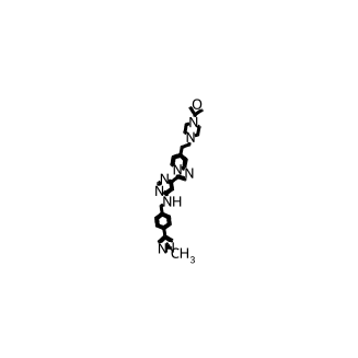 Cn1cc(-c2ccc(CNc3cc(-c4cnc5cc(CCN6CCN(C7COC7)CC6)ccn45)ncn3)cc2)cn1